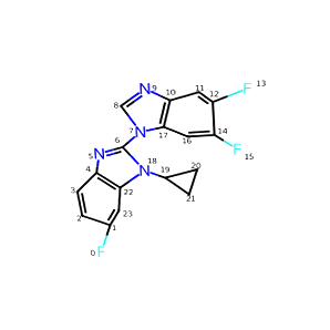 Fc1ccc2nc(-n3cnc4cc(F)c(F)cc43)n(C3CC3)c2c1